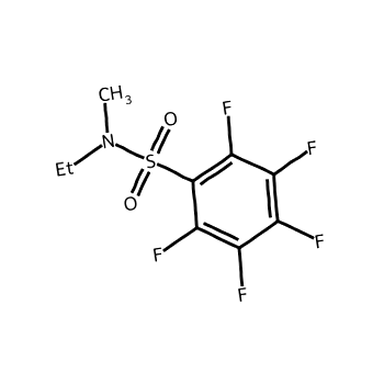 CCN(C)S(=O)(=O)c1c(F)c(F)c(F)c(F)c1F